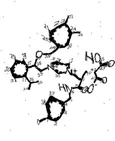 Cc1ccc(CNC(=O)C(C)[n+]2ccn(CC(OCc3ccc(C)c(C)c3)c3ccccc3C(C)C)c2)cc1.O=C([O-])CC(=O)O